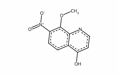 COc1c([N+](=O)[O-])ccc2c(O)ccnc12